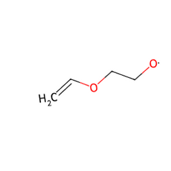 C=COCC[O]